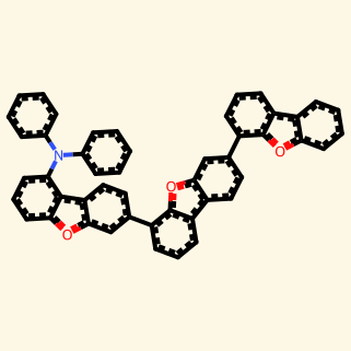 c1ccc(N(c2ccccc2)c2cccc3oc4cc(-c5cccc6c5oc5cc(-c7cccc8c7oc7ccccc78)ccc56)ccc4c23)cc1